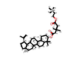 C=C(C)[C@@H]1CC[C@]2(CCC)CC[C@]3(C)C(CCC4[C@@]5(C)CC[C@H](OC(=O)CC(C)(C)CC(=O)OCC[Si](C)(C)C)C(C)(C)C5CC[C@]43C)C12